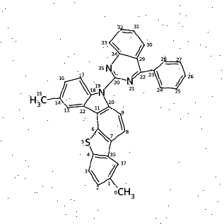 Cc1ccc2sc3c(ccc4c3c3cc(C)ccc3n4-c3nc(-c4ccccc4)c4ccccc4n3)c2c1